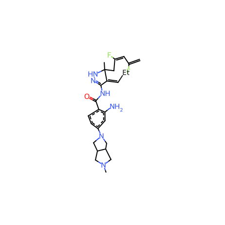 C=C(F)/C=C(/F)CC1(C)NN=C(NC(=O)c2ccc(N3CC4CN(C)CC4C3)cc2N)/C1=C/CC